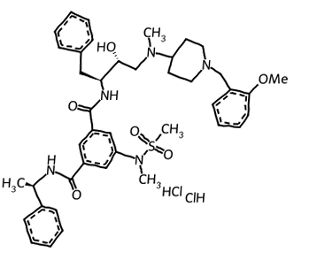 COc1ccccc1CN1CCC(N(C)C[C@@H](O)[C@H](Cc2ccccc2)NC(=O)c2cc(C(=O)N[C@H](C)c3ccccc3)cc(N(C)S(C)(=O)=O)c2)CC1.Cl.Cl